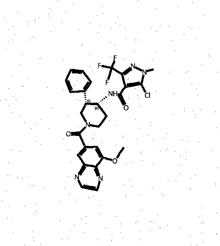 COc1cc(C(=O)N2CC[C@@H](NC(=O)c3c(C(F)(F)F)nn(C)c3Cl)[C@@H](c3ccccc3)C2)cc2nccnc12